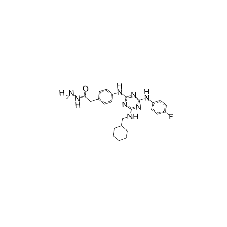 NNC(=O)Cc1ccc(Nc2nc(NCC3CCCCC3)nc(Nc3ccc(F)cc3)n2)cc1